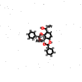 CCCC(=O)c1ccc(OC(=O)c2ccccc2)c(NC(C)=O)c1OC(=O)c1ccccc1